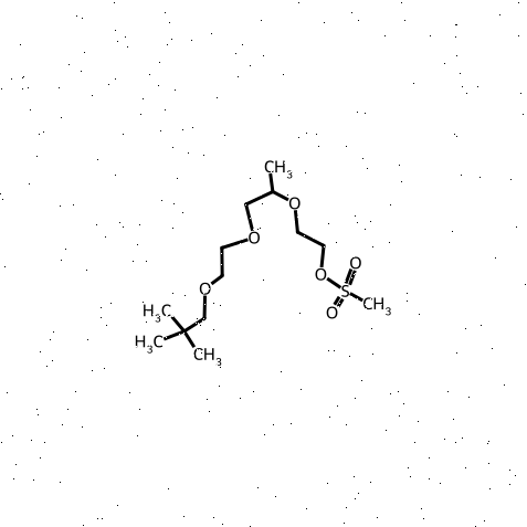 CC(COCCOCC(C)(C)C)OCCOS(C)(=O)=O